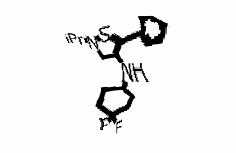 CC(C)N1CC(NC2CCC(F)(F)CC2)=C(c2ccccc2)S1